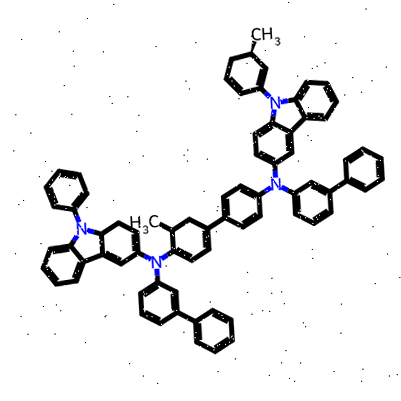 CC1CC(c2ccc(N(c3cccc(-c4ccccc4)c3)c3ccc4c(c3)c3ccccc3n4C3=C[C@H](C)CC=C3)cc2)=CC=C1N(C1=CCC2C(=C1)c1ccccc1N2c1ccccc1)c1cccc(-c2ccccc2)c1